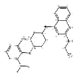 COc1cccc(N(C)C)c1CN1CCC(Nc2nc(NCC(F)(F)F)nc3ccccc23)CC1